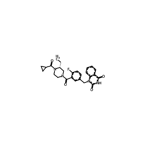 CC[C@@H]1CN(C(=O)c2cc(Cn3c(=O)[nH]c(=O)c4ccccc43)ccc2F)CCN1C(=O)C1CC1